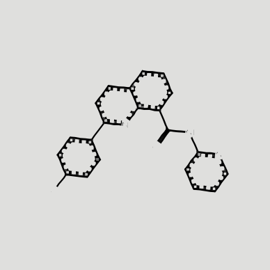 O=C(Nc1ccccn1)c1cccc2ccc(-c3ccc(C(F)(F)F)cc3)nc12